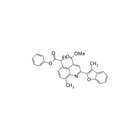 CCC(C(=O)Oc1ccccc1)c1ccc(C)c2nc(-c3oc4ccccc4c3C)cc(C(=O)OC)c12